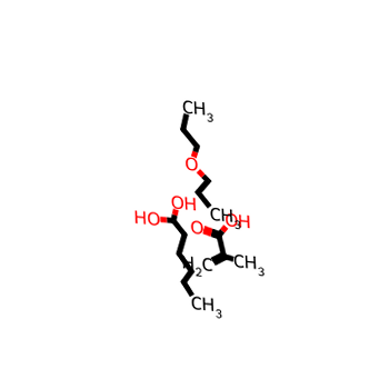 C=C(C)C(=O)O.CCCCCC(O)O.CCCOCCC